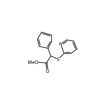 COC(=O)C(Sc1ccccn1)c1ccccc1